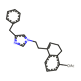 CC(=O)Oc1cccc2c1CCC=C2CCn1cnc(Cc2ccccc2)c1